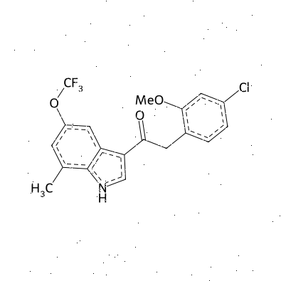 COc1cc(Cl)ccc1CC(=O)c1c[nH]c2c(C)cc(OC(F)(F)F)cc12